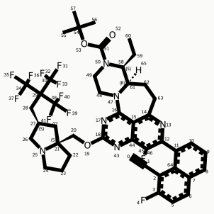 C#Cc1c(F)ccc2cccc(-c3nc4c5c(nc(OC[C@@]67CCCN6C[C@@H](CC(C(F)(F)F)(C(F)(F)F)C(F)(F)F)C7)nc5c3F)N3CCN(C(=O)OC(C)(C)C)[C@@H](CC)[C@H]3CC4)c12